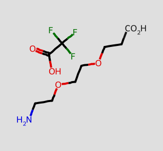 NCCOCCOCCC(=O)O.O=C(O)C(F)(F)F